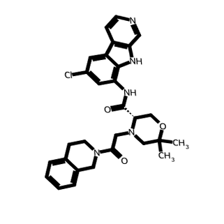 CC1(C)CN(CC(=O)N2CCc3ccccc3C2)[C@H](C(=O)Nc2cc(Cl)cc3c2[nH]c2cnccc23)CO1